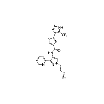 CCOCCn1cc(NC(=O)c2csc(-c3cn[nH]c3C(F)(F)F)n2)c(-c2ccccn2)n1